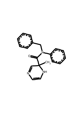 CC1(C(=O)N(Cc2ccccc2)c2ccccc2)C=NC=CN1